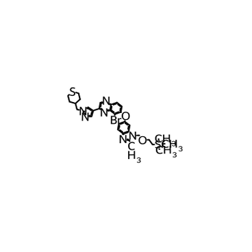 Cc1nc2ccc(Oc3ccc4ncc(-c5cnn(CC6CCSCC6)c5)nc4c3Br)cc2n1COCC[Si](C)(C)C